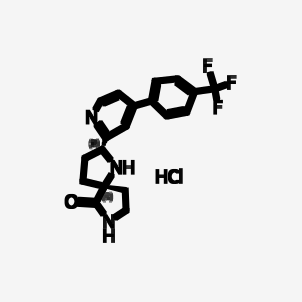 Cl.O=C1NCC[C@]12CC[C@H](c1cc(-c3ccc(C(F)(F)F)cc3)ccn1)N2